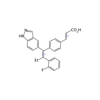 CC/C(=C(/c1ccc(/C=C/C(=O)O)cc1)c1ccc2[nH]ncc2c1)c1ccccc1F